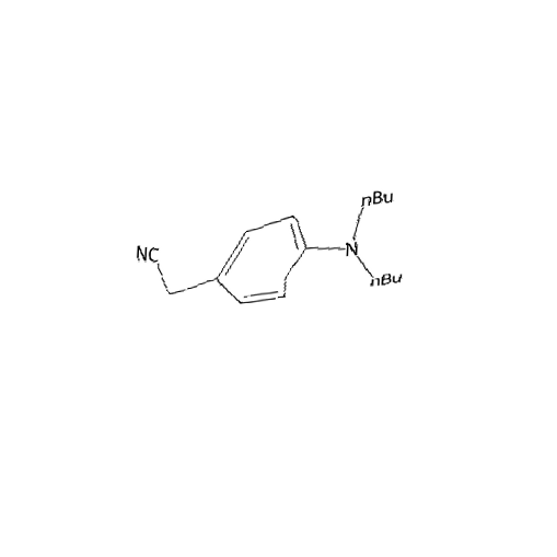 CCCCN(CCCC)c1ccc(CC#N)cc1